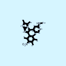 Cc1sc2nc(-c3c(C)c(C)c(C)c([N+](=O)[O-])c3C)c(-c3ccnc(NF)c3)n2c1C